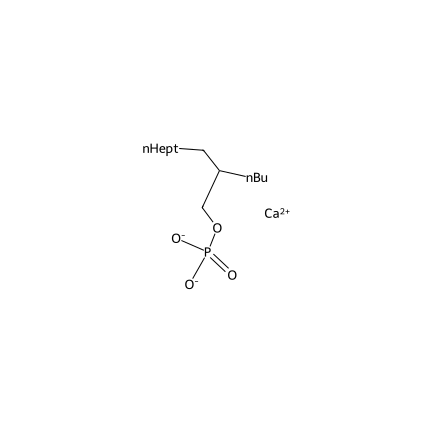 CCCCCCCCC(CCCC)COP(=O)([O-])[O-].[Ca+2]